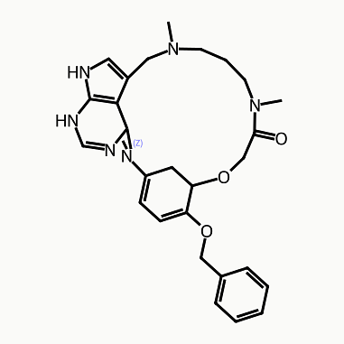 CN1CCCN(C)C(=O)COC2CC(=CC=C2OCc2ccccc2)/N=C2\N=CNc3[nH]cc(c32)C1